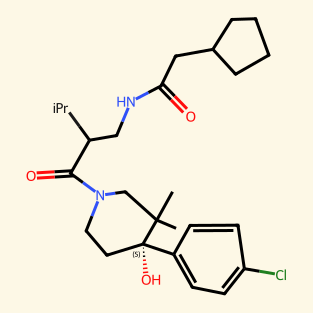 CC(C)C(CNC(=O)CC1CCCC1)C(=O)N1CC[C@](O)(c2ccc(Cl)cc2)C(C)(C)C1